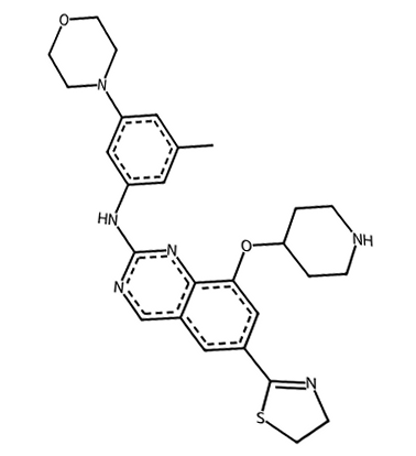 Cc1cc(Nc2ncc3cc(C4=NCCS4)cc(OC4CCNCC4)c3n2)cc(N2CCOCC2)c1